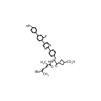 CCCc1ccc(-c2ccc(-c3cnc(-c4ccc(C[C@H](NC(=O)/C(C)=C/C=C(\C)C(C)(C)C)C(=O)N5CC(C(=O)O)C5)cc4)nc3)c(F)c2)cc1